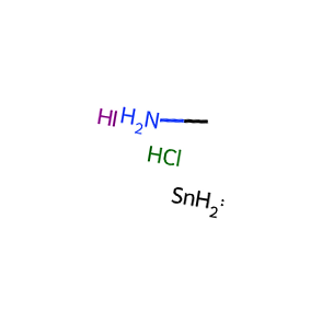 CN.Cl.I.[SnH2]